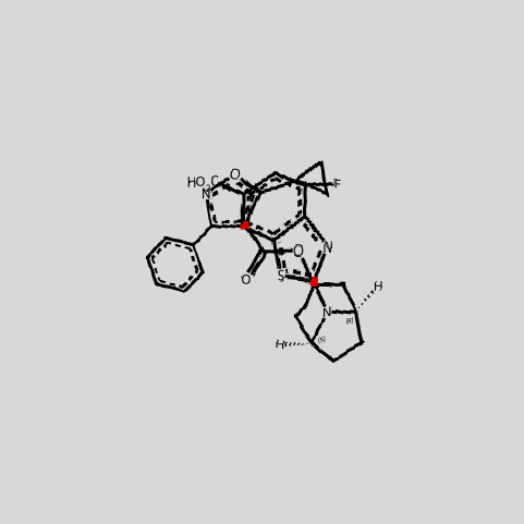 O=C(O)c1cc(F)c2nc(N3[C@@H]4CC[C@H]3CC(OC(=O)c3c(-c5ccccc5)noc3C3CC3)C4)sc2c1